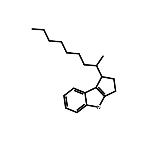 CCCCCCCC(C)C1CCC2=C1c1ccccc1[N]2